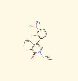 C/C=C\c1c(-c2cccc(C(N)=O)c2F)cn(C/C=C/C)c(=O)c1C